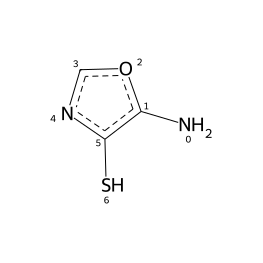 Nc1ocnc1S